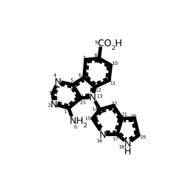 Nc1ncnc2c3cc(C(=O)O)ccc3n(-c3cnc4[nH]ccc4c3)c12